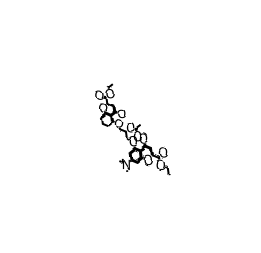 CCOC(=O)c1cc(=O)c2c(o1)=CCCC=2OCC(COc1cc(N(C)C)cc2oc(C(=O)OCC)cc(=O)c12)OC(C)=O